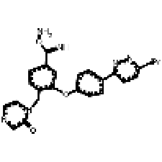 CC(C)c1ccc(-c2ccc(Oc3cc(C(=N)ON)ccc3Cn3ccncc3=O)cc2)nn1